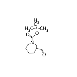 CC(C)(C)OC(=O)N1CCCCC(C=O)C1